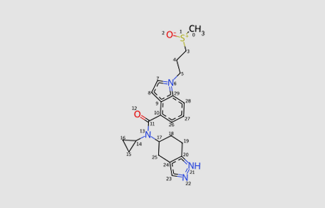 C[S+]([O-])CCCn1ccc2c(C(=O)N(C3CC3)C3CCc4[nH]ncc4C3)cccc21